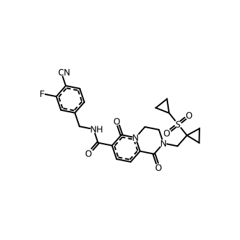 N#Cc1ccc(CNC(=O)c2ccc3n(c2=O)CCN(CC2(S(=O)(=O)C4CC4)CC2)C3=O)cc1F